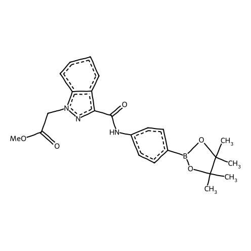 COC(=O)Cn1nc(C(=O)Nc2ccc(B3OC(C)(C)C(C)(C)O3)cc2)c2ccccc21